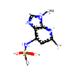 CCS(=O)(=O)Nc1cc(C(C)C)nc2c1ncn2C(C)(C)C